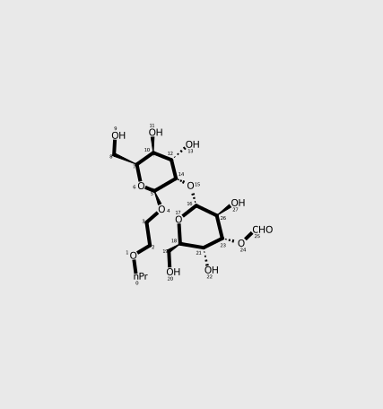 CCCOCCO[C@H]1O[C@@H](CO)[C@@H](O)[C@H](O)[C@@H]1O[C@H]1O[C@H](CO)[C@@H](O)[C@@H](OC=O)[C@@H]1O